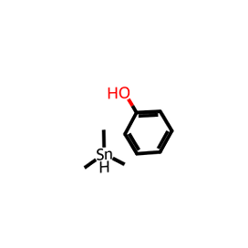 Oc1ccccc1.[CH3][SnH]([CH3])[CH3]